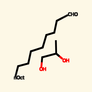 CC(O)CO.CCCCCCCCCCCCCCCC=O